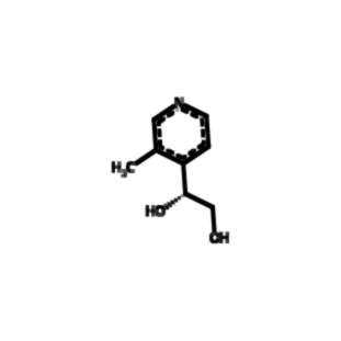 Cc1cnccc1[C@@H](O)CO